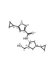 O=C(N[C@@H]1CN(C2CC2)C[C@H]1CO)c1cc(C2CC2)on1